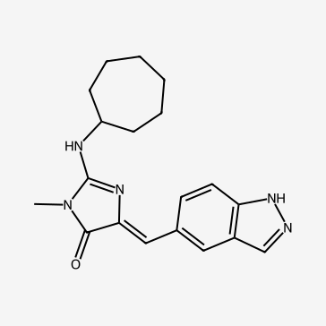 CN1C(=O)/C(=C/c2ccc3[nH]ncc3c2)N=C1NC1CCCCCC1